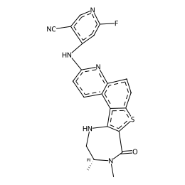 C[C@@H]1CNc2c(sc3ccc4nc(Nc5cc(F)ncc5C#N)ccc4c23)C(=O)N1C